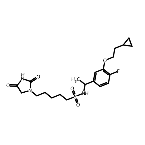 CC(NS(=O)(=O)CCCCCN1CC(=O)NC1=O)c1ccc(F)c(OCCC2CC2)c1